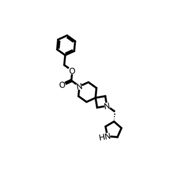 O=C(OCc1ccccc1)N1CCC2(CC1)CN(C[C@@H]1CCNC1)C2